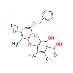 COc1cc(OCc2ccccc2)cc(Oc2c(C)c(C)c(C(=O)O)c(O)c2Cl)c1C